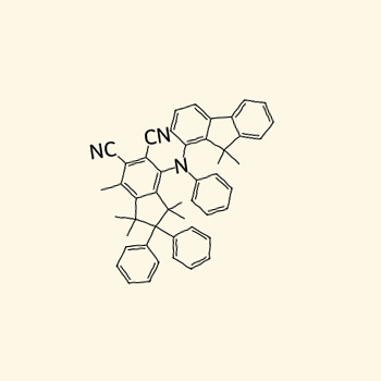 Cc1c(C#N)c(C#N)c(N(c2ccccc2)c2cccc3c2C(C)(C)c2ccccc2-3)c2c1C(C)(C)C(c1ccccc1)(c1ccccc1)C2(C)C